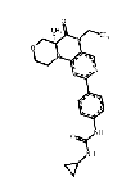 C[C@@]12COCCN1c1nc(-c3ccc(NC(=O)NC4CC4)cc3)ncc1N(CC(F)(F)F)C2=O